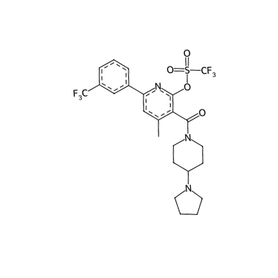 Cc1cc(-c2cccc(C(F)(F)F)c2)nc(OS(=O)(=O)C(F)(F)F)c1C(=O)N1CCC(N2CCCC2)CC1